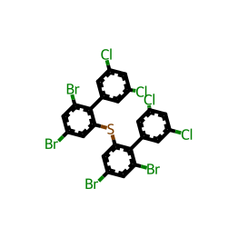 Clc1cc(Cl)cc(-c2c(Br)cc(Br)cc2Sc2cc(Br)cc(Br)c2-c2cc(Cl)cc(Cl)c2)c1